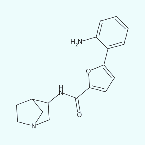 Nc1ccccc1-c1ccc(C(=O)NC2CN3CCC2C3)o1